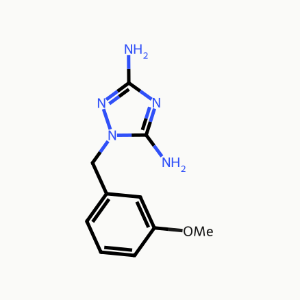 COc1cccc(Cn2nc(N)nc2N)c1